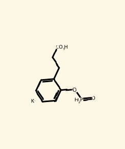 O=[PH2]Oc1ccccc1CCC(=O)O.[K]